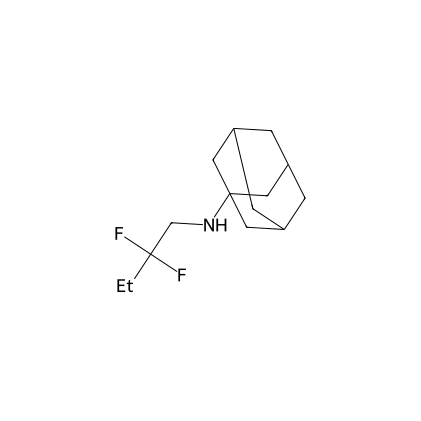 CCC(F)(F)CNC12CC3CC(CC(C3)C1)C2